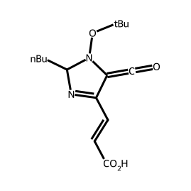 CCCCC1N=C(C=CC(=O)O)C(=C=O)N1OC(C)(C)C